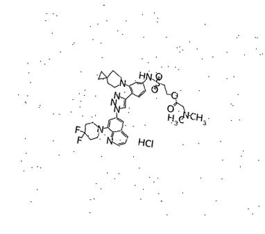 CN(C)CC(=O)OCCS(=O)(=O)Nc1ccc(-c2cn(-c3cc(N4CCC(F)(F)CC4)c4ncccc4c3)nn2)c(N2CCC3(CC2)CC3)c1.Cl